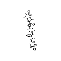 O=C(NN1CCN(C[C@H](O)COc2ccc(Cl)c(F)c2)CC1)C1Cc2cc(Cl)ccc2O1